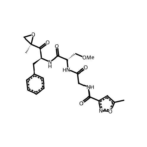 COC[C@H](NC(=O)CNC(=O)c1cc(C)on1)C(=O)N[C@@H](Cc1ccccc1)C(=O)[C@@]1(C)CO1